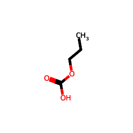 CCCOC(=O)O